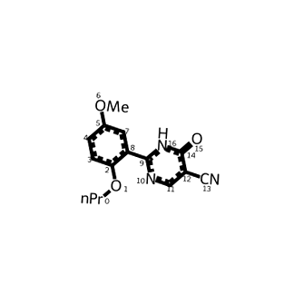 CCCOc1ccc(OC)cc1-c1ncc(C#N)c(=O)[nH]1